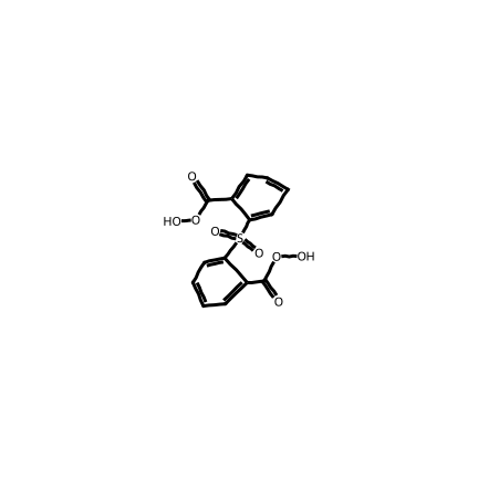 O=C(OO)c1ccccc1S(=O)(=O)c1ccccc1C(=O)OO